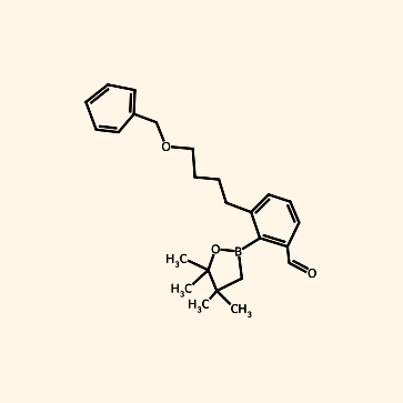 CC1(C)CB(c2c(C=O)cccc2CCCCOCc2ccccc2)OC1(C)C